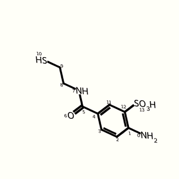 Nc1ccc(C(=O)NCCS)cc1S(=O)(=O)O